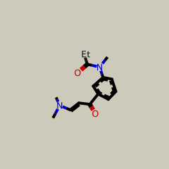 CCC(=O)N(C)c1cccc(C(=O)/C=C/N(C)C)c1